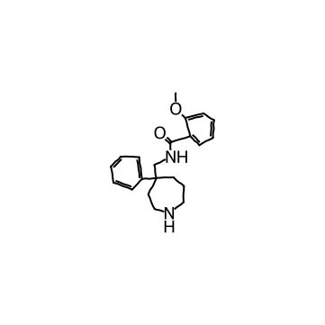 COc1ccccc1C(=O)NCC1(c2ccccc2)CCCNCC1